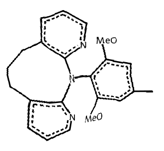 COc1cc(C)cc(OC)c1N1c2ncccc2CCCc2cccnc21